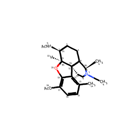 CC(=O)N[C@H]1CCC2[C@@H](C)N(C)CC[C@@]23c2c(C)ccc(OC(C)=O)c2O[C@@H]13